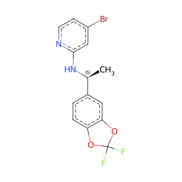 C[C@H](Nc1cc(Br)ccn1)c1ccc2c(c1)OC(F)(F)O2